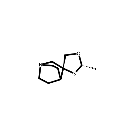 C[C@H]1OC[C@@]2(CN3CCC2CC3)S1